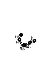 CC(C)(C)c1cc(SCNc2ccc(Nc3ccccc3)cc2)cc(CNC2C=CC(Nc3ccccc3)=CC2)c1O